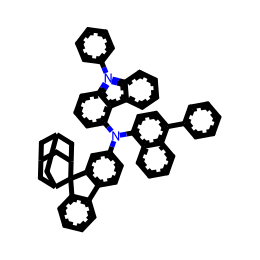 c1ccc(-c2ccc(N(c3ccc4c(c3)C3(c5ccccc5-4)C4CC5CC(C4)CC3C5)c3cccc4c3c3ccccc3n4-c3ccccc3)c3ccccc23)cc1